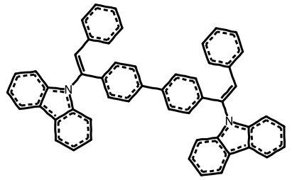 C(=C(c1ccc(-c2ccc(C(=Cc3ccccc3)n3c4ccccc4c4ccccc43)cc2)cc1)n1c2ccccc2c2ccccc21)c1ccccc1